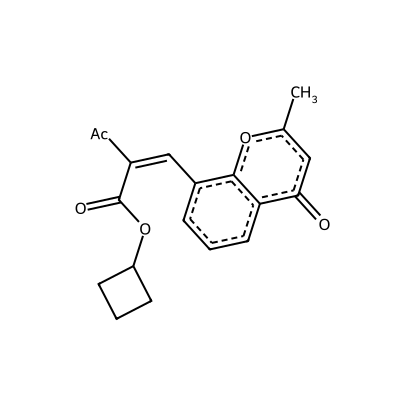 CC(=O)C(=Cc1cccc2c(=O)cc(C)oc12)C(=O)OC1CCC1